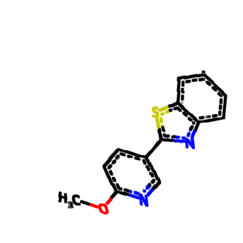 COc1ccc(-c2nc3cc[c]cc3s2)cn1